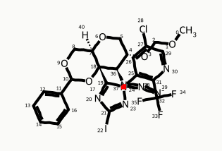 COCO[C@H]1CO[C@@H]2COC(c3ccccc3)O[C@@]2(c2nc(I)nn2-c2cc(Cl)cnc2C(F)(F)F)[C@@H]1N=[N+]=[N-]